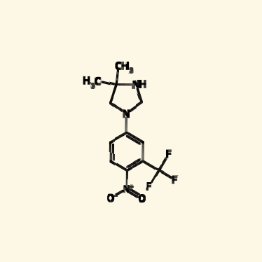 CC1(C)CN(c2ccc([N+](=O)[O-])c(C(F)(F)F)c2)CN1